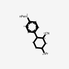 CCCCCc1ccc(C2CCC(CCC)CC2C#N)cc1